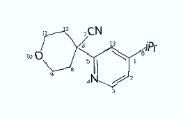 CC(C)c1ccnc(C2(C#N)CCOCC2)c1